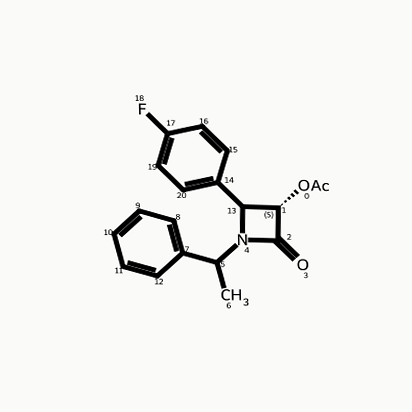 CC(=O)O[C@@H]1C(=O)N(C(C)c2ccccc2)C1c1ccc(F)cc1